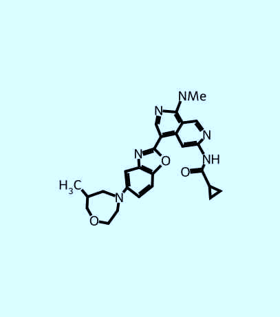 CNc1ncc(-c2nc3cc(N4CCOCC(C)C4)ccc3o2)c2cc(NC(=O)C3CC3)ncc12